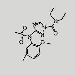 CCN(CC)C(=O)n1cnc(N(c2cc(C)ccc2OC)S(C)(=O)=O)n1